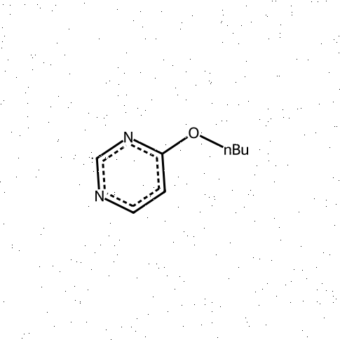 CCCCOc1ccn[c]n1